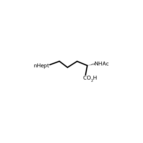 CCCCCCCCCC[C@H](NC(C)=O)C(=O)O